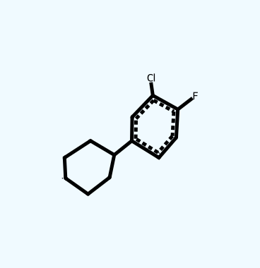 Fc1ccc(C2CC[CH]CC2)cc1Cl